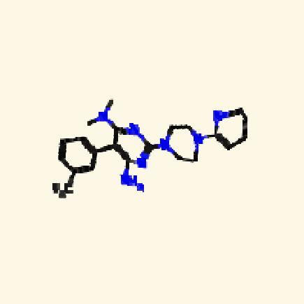 CN(C)c1nc(N2CCN(c3ccccn3)CC2)nc(N)c1-c1cccc(C(F)(F)F)c1